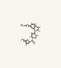 COc1ccc2c(c1)C(N1CCN(C(=O)c3ccc(Cl)s3)CC1)CC2